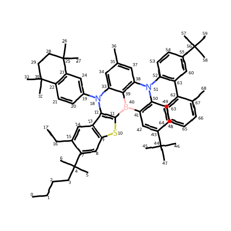 CCCCC(C)(C)c1cc2sc3c(c2cc1CC)N(c1ccc2c(c1)C(C)(C)CCC2(C)C)c1cc(C)cc2c1B3c1cc(C(C)(C)C)ccc1N2c1ccc(C(C)(C)C)cc1-c1ccccc1C